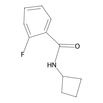 O=C(NC1CCC1)c1ccccc1F